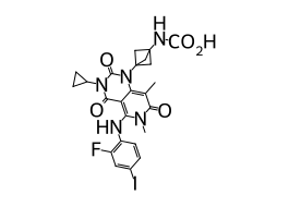 Cc1c(=O)n(C)c(Nc2ccc(I)cc2F)c2c(=O)n(C3CC3)c(=O)n(C34CC(NC(=O)O)(C3)C4)c12